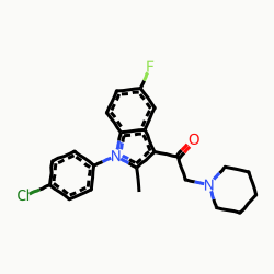 Cc1c(C(=O)CN2CCCCC2)c2cc(F)ccc2n1-c1ccc(Cl)cc1